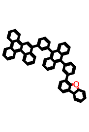 C1=CC2Oc3c(-c4cccc(-c5c6ccccc6c(-c6cccc(-c7cc8c9ccccc9c9ccccc9c8c8ccccc78)c6)c6ccccc56)c4)cccc3C2C=C1